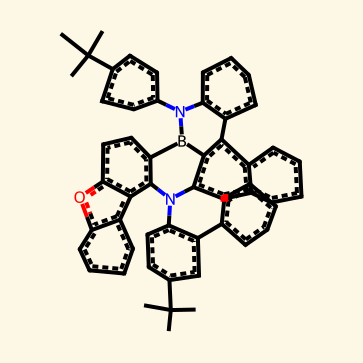 CC(C)(C)c1ccc(N2B3c4ccc5oc6ccccc6c5c4N(c4ccc(C(C)(C)C)cc4-c4ccccc4)c4cc5ccccc5c(c43)-c3ccccc32)cc1